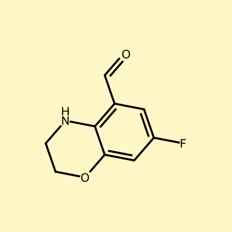 O=Cc1cc(F)cc2c1NCCO2